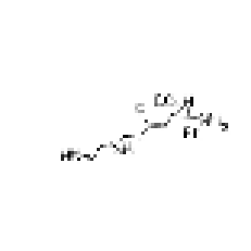 CC[C@](N)(C/C=C(\F)CCNCC=N)C(=O)O